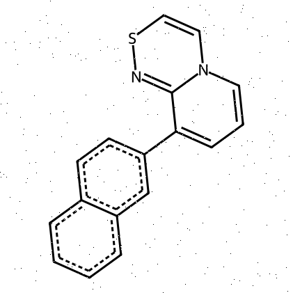 C1=CN2C=CSN=C2C(c2ccc3ccccc3c2)=C1